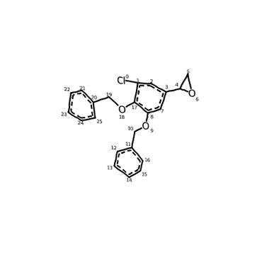 Clc1cc(C2CO2)cc(OCc2ccccc2)c1OCc1ccccc1